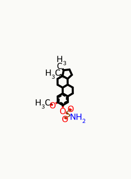 COc1cc2c(cc1OS(N)(=O)=O)CCC1C2CC[C@]2(C)C(C)CCC12